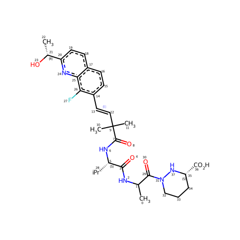 CC(NC(=O)[C@@H](NC(=O)C(C)(C)/C=C/c1ccc2ccc([C@@H](C)O)nc2c1F)C(C)C)C(=O)N1CCC[C@@H](C(=O)O)N1